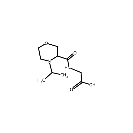 CC(C)N1CCOCC1C(=O)NCC(=O)O